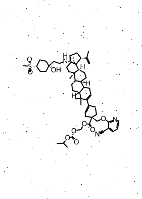 C=C(C)[C@@H]1CC[C@]2(NCC[C@]3(O)CC[C@@H](S(C)(=O)=O)CC3)CC[C@]3(C)[C@H](CC[C@@H]4[C@@]5(C)CC=C(C6=CC[C@@](COc7ncccc7C#N)(C(=O)OCOC(=O)OC(C)C)CC6)C(C)(C)[C@@H]5CC[C@]43C)[C@@H]12